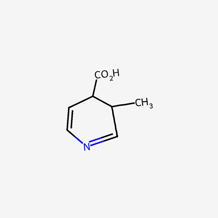 CC1C=NC=CC1C(=O)O